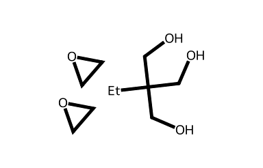 C1CO1.C1CO1.CCC(CO)(CO)CO